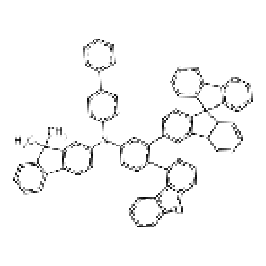 CC1(C)c2ccccc2-c2ccc(N(c3ccc(-c4ccccc4)cc3)c3ccc(-c4cccc5oc6ccccc6c45)c(-c4ccc5c(c4)C4C=CC=CC4C54c5ccccc5-c5ccccc54)c3)cc21